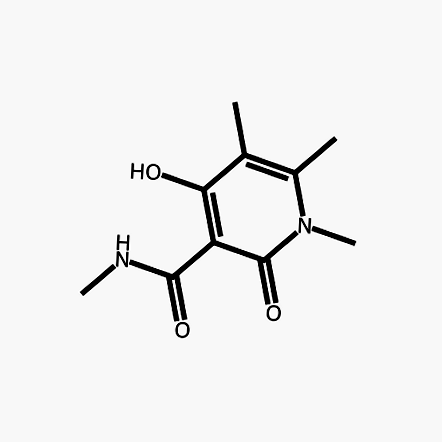 CNC(=O)c1c(O)c(C)c(C)n(C)c1=O